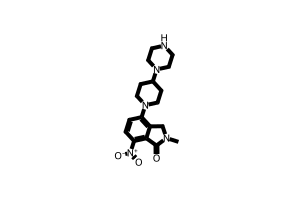 CN1Cc2c(N3CCC(N4CCNCC4)CC3)ccc([N+](=O)[O-])c2C1=O